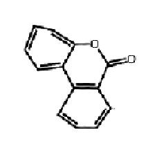 O=c1oc2ccccc2c2ccc[c]c12